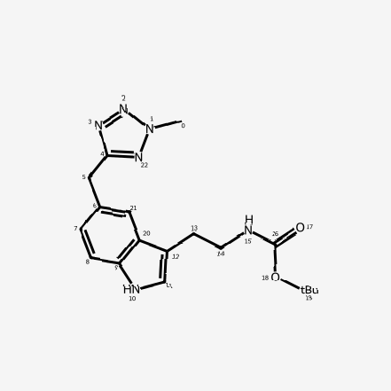 Cn1nnc(Cc2ccc3[nH]cc(CCNC(=O)OC(C)(C)C)c3c2)n1